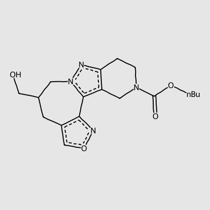 CCCCOC(=O)N1CCc2nn3c(c2C1)-c1nocc1CC(CO)C3